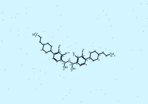 CCCC1CCC(c2ccc(B(O)OB(O)c3ccc(C4CCC(CCC)CC4)c(F)c3F)c(F)c2F)CC1